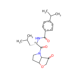 CC(C)C[C@H](NC(=O)c1ccc(C(C)C)cc1)C(=O)N1CCC2OCC(=O)C21